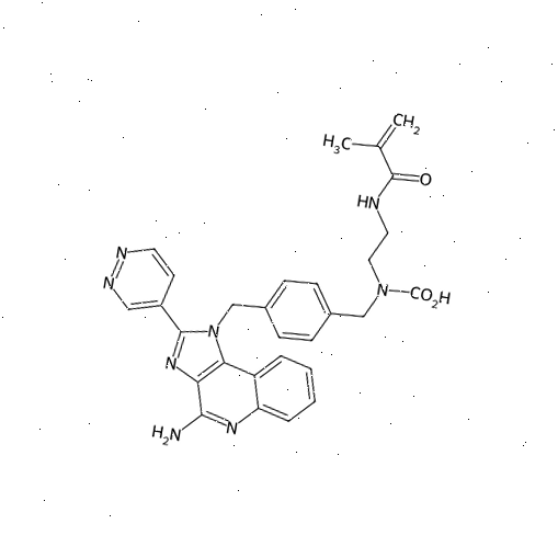 C=C(C)C(=O)NCCN(Cc1ccc(Cn2c(-c3ccnnc3)nc3c(N)nc4ccccc4c32)cc1)C(=O)O